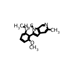 COc1cccc(OC)c1-c1cc2cc(C)ncc2n1C